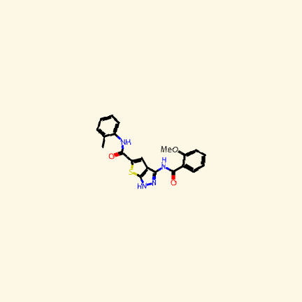 COc1ccccc1C(=O)Nc1n[nH]c2sc(C(=O)Nc3ccccc3C)cc12